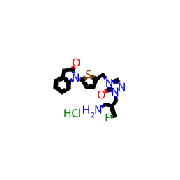 Cl.NC/C(=C\F)Cn1ncn(Cc2ccc(N3C(=O)Cc4ccccc43)s2)c1=O